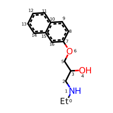 CCNCC(O)COc1ccc2ccccc2c1